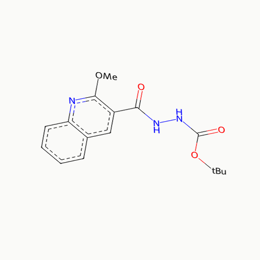 COc1nc2ccccc2cc1C(=O)NNC(=O)OC(C)(C)C